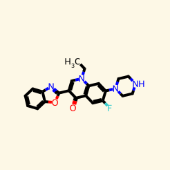 CCn1cc(-c2nc3ccccc3o2)c(=O)c2cc(F)c(N3CCNCC3)cc21